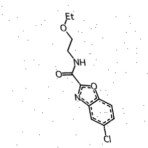 CCOCCNC(=O)c1nc2cc(Cl)ccc2o1